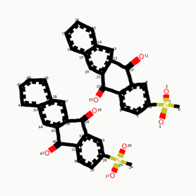 CS(=O)(=O)c1ccc2c(c1)C(=O)c1cc3ccccc3cc1C2=O.CS(=O)(=O)c1ccc2c(c1)C(=O)c1cc3ccccc3cc1C2=O